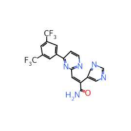 NC(=O)/C(=C/c1nccc(-c2cc(C(F)(F)F)cc(C(F)(F)F)c2)n1)c1cncnc1